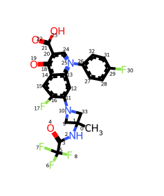 CC1(NC(=O)C(F)(F)F)CN(c2cc3c(cc2F)c(=O)c(C(=O)O)cn3-c2ccc(F)cc2)C1